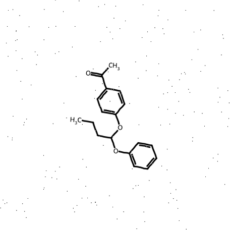 CCCC(Oc1ccccc1)Oc1ccc(C(C)=O)cc1